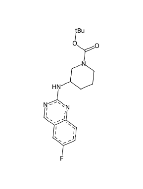 CC(C)(C)OC(=O)N1CCCC(Nc2ncc3cc(F)ccc3n2)C1